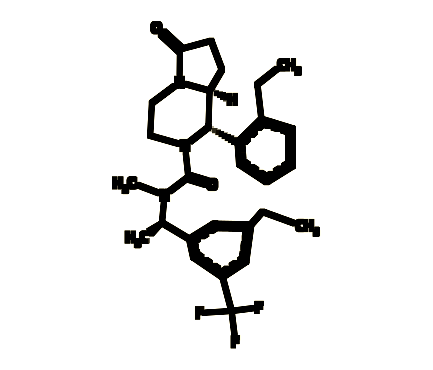 CCc1cc([C@@H](C)N(C)C(=O)N2CCN3C(=O)CC[C@H]3[C@@H]2c2ccccc2CC)cc(C(F)(F)F)c1